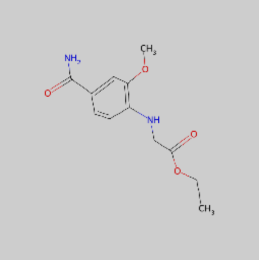 CCOC(=O)CNc1ccc(C(N)=O)cc1OC